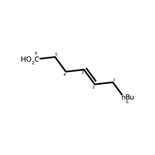 CCCCC/C=C/CCC(=O)O